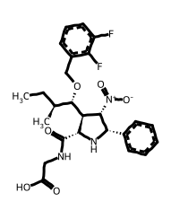 CC[C@H](C)[C@H](OCc1cccc(F)c1F)[C@H]1[C@H]([N+](=O)[O-])[C@H](c2ccccc2)N[C@@H]1C(=O)NCC(=O)O